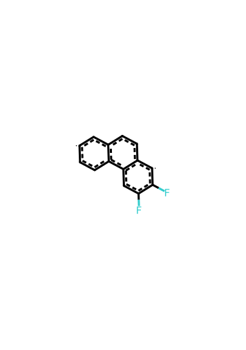 Fc1[c]c2ccc3c[c]ccc3c2cc1F